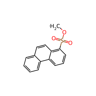 [CH2]OS(=O)(=O)c1cccc2c1ccc1ccccc12